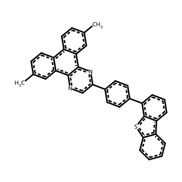 Cc1ccc2c3ccc(C)cc3c3nc(-c4ccc(-c5cccc6c5sc5ccccc56)cc4)cnc3c2c1